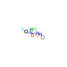 CN1/C(=N/C2CCCCC2)SCC1CC(=O)NCc1ccc(F)cc1.Cl